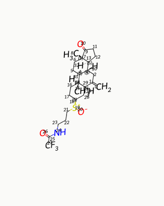 C=C1C[C@@H]2[C@H](CC[C@]3(C)C(=O)CC[C@@H]23)[C@@]2(C)CC[C@H]([S+]([O-])CCCNC(=O)C(F)(F)F)C[C@@H]12